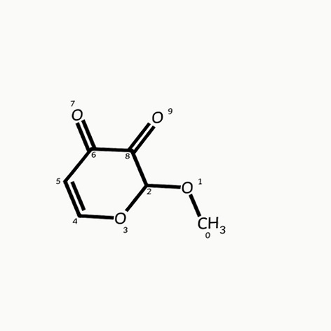 COC1OC=CC(=O)C1=O